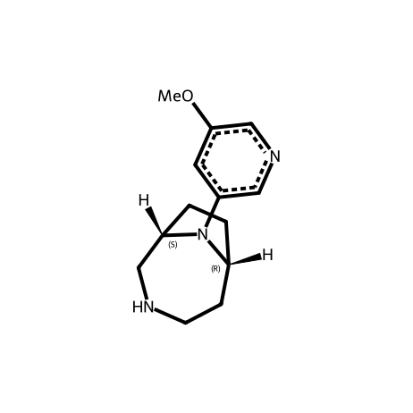 COc1cncc(N2[C@H]3CCNC[C@@H]2CC3)c1